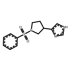 O=S(=O)(c1ccccc1)N1CCC(c2c[nH]cn2)C1